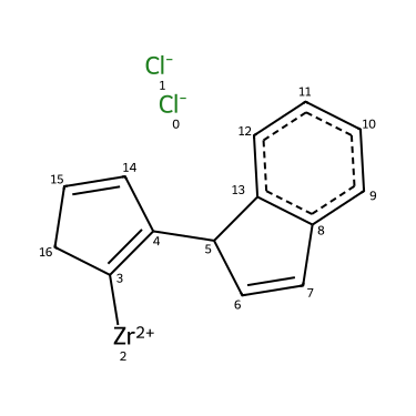 [Cl-].[Cl-].[Zr+2][C]1=C(C2C=Cc3ccccc32)C=CC1